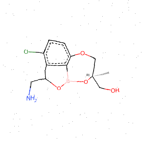 C[C@@]1(CO)COc2ccc(Cl)c3c2B(OC3CN)O1